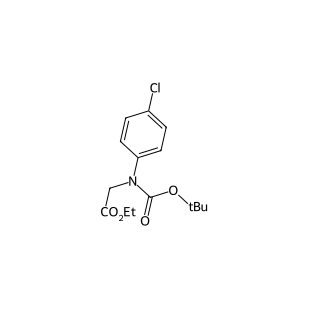 CCOC(=O)CN(C(=O)OC(C)(C)C)c1ccc(Cl)cc1